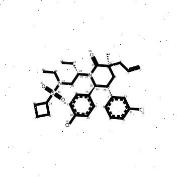 C=CC[C@@]1(C)C[C@H](c2cccc(Cl)c2)[C@@H](c2ccc(Cl)cc2)N([C@@H](CC)CN(CC)S(=O)(=O)C2CCC2)C1=O